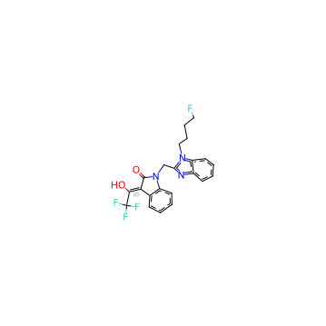 O=C1/C(=C(\O)C(F)(F)F)c2ccccc2N1Cc1nc2ccccc2n1CCCCF